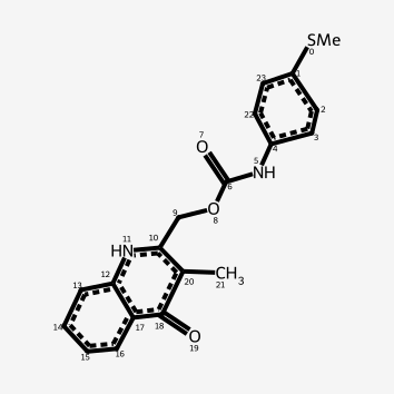 CSc1ccc(NC(=O)OCc2[nH]c3ccccc3c(=O)c2C)cc1